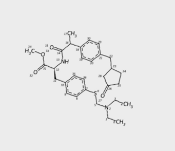 CCN(CC)CSc1ccc(C[C@H](NC(=O)C(C)c2ccc(CC3CCC(=O)C3)cc2)C(=O)OC)cc1